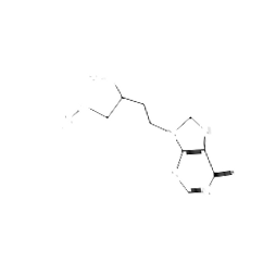 COC(CCN1CNc2c1[nH]cnc2=O)CON